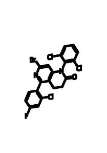 O=C1CCc2c(cc(Br)nc2-c2ccc(F)cc2Cl)N1c1c(Cl)cccc1Cl